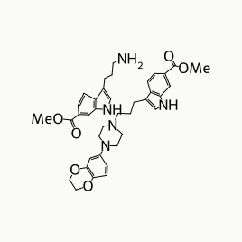 COC(=O)c1ccc2c(CCCN)c[nH]c2c1.COC(=O)c1ccc2c(CCCN3CCN(c4ccc5c(c4)OCCO5)CC3)c[nH]c2c1